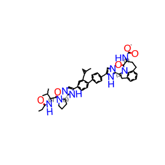 CCC(=O)N[C@H](C(=O)N1CCC[C@H]1c1ncc(-c2ccc(-c3ccc(-c4cnc([C@@H]5Cc6cccc7c6N5C(=O)[C@@H](NC(=O)OC)CC7)[nH]4)cc3)c(C3=C=C3C)c2)[nH]1)C(C)C